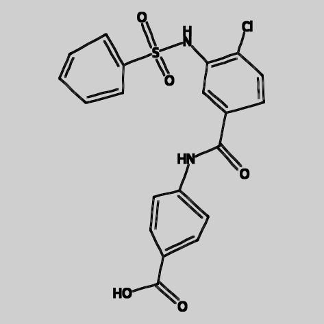 O=C(O)c1ccc(NC(=O)c2ccc(Cl)c(NS(=O)(=O)c3ccccc3)c2)cc1